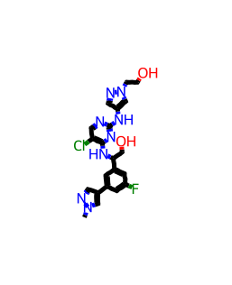 Cn1cc(-c2cc(F)cc(C(CO)Nc3nc(Nc4cnn(CCO)c4)ncc3Cl)c2)cn1